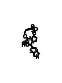 C.O=C1OCC=CS(=O)(=O)OC2CC[C@@H](C(O)c3cn4cncc4s3)N12